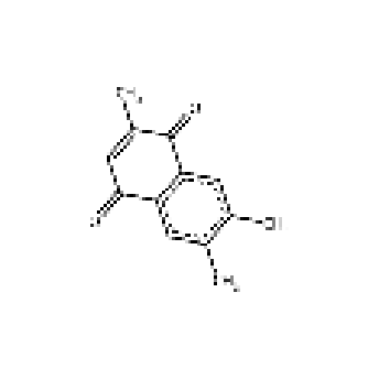 CC1=CC(=O)c2cc(C)c(C)cc2C1=O